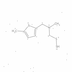 Cc1ccc(CN(C)CSS)s1